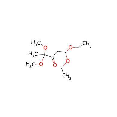 CCOC(CC(=O)C(C)(OC)OC)OCC